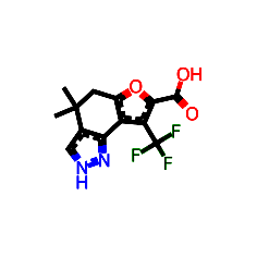 CC1(C)Cc2oc(C(=O)O)c(C(F)(F)F)c2-c2n[nH]cc21